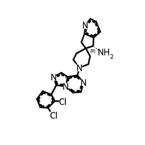 N[C@H]1c2cccnc2CC12CCN(c1nccn3c(-c4cccc(Cl)c4Cl)ncc13)CC2